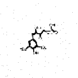 CCCCC(=Cc1cc(C(C)(C)C)c(O)c(C(C)(C)C)c1)C(=O)CO[PH](=O)O